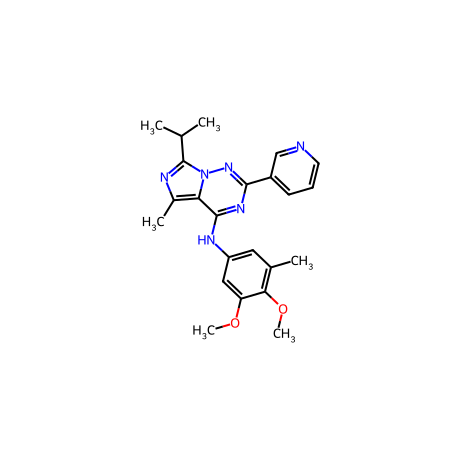 COc1cc(Nc2nc(-c3cccnc3)nn3c(C(C)C)nc(C)c23)cc(C)c1OC